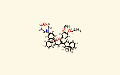 CCOc1cc2c3c(c4c(c2cc1OC)OC(c1ccccc1)(c1ccc(N2CCCOCC2)cc1)C=C4)C(C)(C)c1ccccc1-3